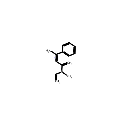 C=CN(C)C(=C)/C=C(/C)c1ccccc1